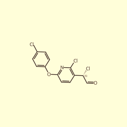 O=C[C@@H](Cl)c1ccc(Oc2ccc(Cl)cc2)nc1Cl